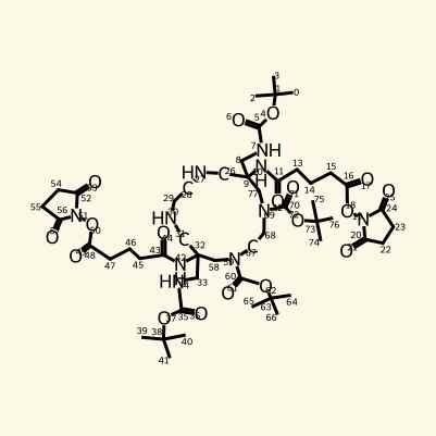 CC(C)(C)OC(=O)NCC1(NC(=O)CCCC(=O)ON2C(=O)CCC2=O)CNCCNCC(CNC(=O)OC(C)(C)C)(NC(=O)CCCC(=O)ON2C(=O)CCC2=O)CN(C(=O)OC(C)(C)C)CCN(C(=O)OC(C)(C)C)C1